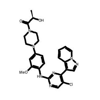 COc1cc(N2CCN(C(=O)[C@@H](C)O)CC2)ccc1Nc1ncc(Cl)c(-c2cnn3ccccc23)n1